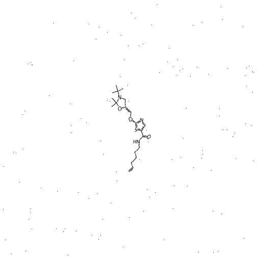 C=CCCCCNC(=O)c1cnc(O/C=C2/CN(C(C)(C)C)C(C)(C)O2)s1